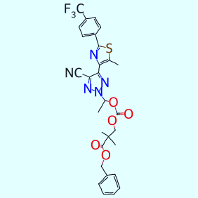 Cc1sc(-c2ccc(C(F)(F)F)cc2)nc1-c1nn(C(C)OC(=O)OCC(C)(C)C(=O)OCc2ccccc2)nc1C#N